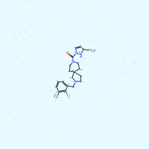 O=C(O)C1C=CN(C(=O)N2CCC3(CCN(Cc4cccc(C(F)(F)F)c4Cl)C3)CC2)N1